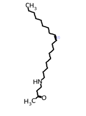 CCCCCCCC/C=C\CCCCCCCCNCCC(C)=O